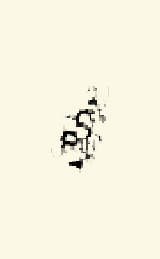 CC[C@@H](CN(C)S(=O)(=O)C1CC1)N1C(=O)[C@](CC(=O)O)(OC)C[C@H](C)[C@H]1c1ccc(Cl)cc1